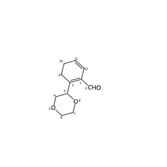 O=CC1=C(C2COCCO2)CCC=C1